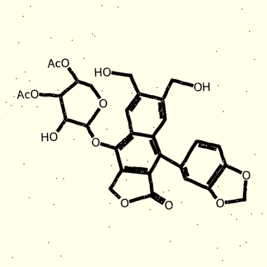 CC(=O)OC1COC(Oc2c3c(c(-c4ccc5c(c4)OCO5)c4cc(CO)c(CO)cc24)C(=O)OC3)C(O)C1OC(C)=O